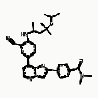 CC(CC(C)(C)OC(C)C)Nc1ccc(-c2ccnc3cc(-c4ccc(C(=O)N(C)C)cc4)oc23)cc1C#N